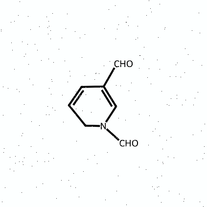 O=CC1=CN(C=O)CC=C1